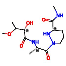 CNC(=O)[C@@H]1CCCN(C(=O)[C@H](C)NC(=O)[C@@H](O)C(C)OC)N1